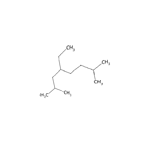 [CH2]C(C)CC(CC)CCC(C)C